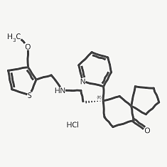 COc1ccsc1CNCC[C@@]1(c2ccccn2)CCC(=O)C2(CCCC2)C1.Cl